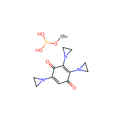 CC(C)(C)OP(O)O.O=C1C=C(N2CC2)C(=O)C(N2CC2)=C1N1CC1